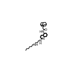 CCCCCCNCCCNc1ccc2c(NC(=O)CC34CC5CC(CC(C5)C3)C4)cccc2n1